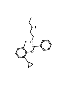 CCNCCO[C@@H](Oc1c(F)cccc1C1CC1)c1ccccc1